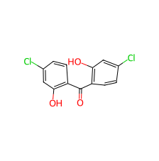 O=C(c1ccc(Cl)cc1O)c1ccc(Cl)cc1O